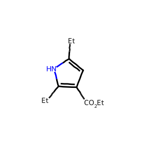 CCOC(=O)c1cc(CC)[nH]c1CC